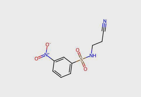 N#CCCNS(=O)(=O)c1cccc([N+](=O)[O-])c1